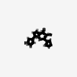 CC(C)n1c(-c2cccs2)nn2c(-c3cn[nH]c3)cnc2c1=O